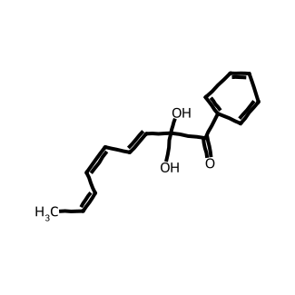 C\C=C/C=C\C=C\C(O)(O)C(=O)c1ccccc1